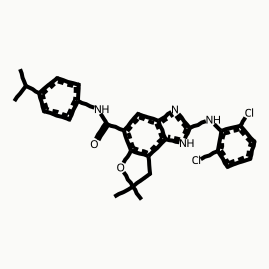 CC(C)c1ccc(NC(=O)c2cc3nc(Nc4c(Cl)cccc4Cl)[nH]c3c3c2OC(C)(C)C3)cc1